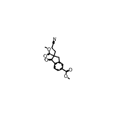 COC(=O)c1ccc2c(c1)CC(CCC#N)(C(=O)OC)C2=O